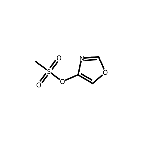 CS(=O)(=O)Oc1cocn1